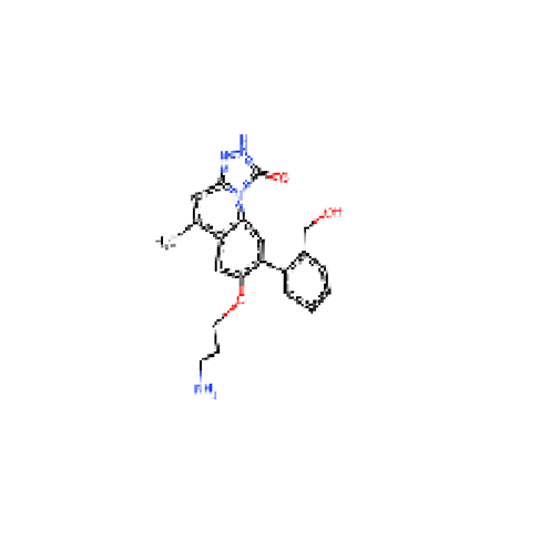 Cc1cc2n[nH]c(=O)n2c2cc(-c3ccccc3CO)c(OCCCN)cc12